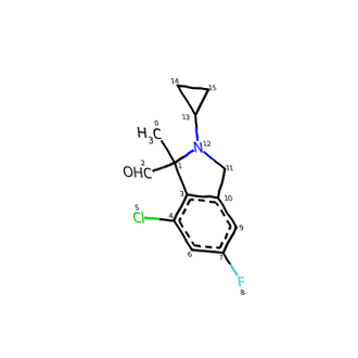 CC1(C=O)c2c(Cl)cc(F)cc2CN1C1CC1